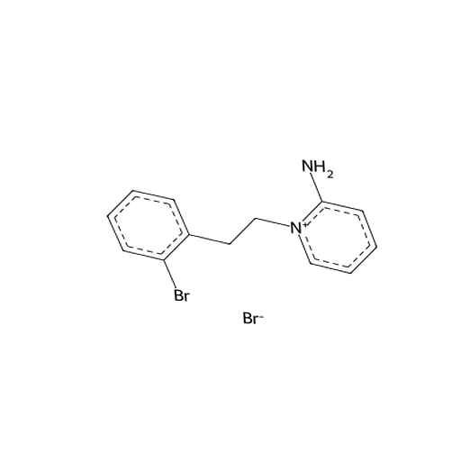 Nc1cccc[n+]1CCc1ccccc1Br.[Br-]